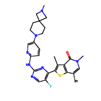 Cc1c(-c2nc(Nc3ccc(N4CCC5(CC4)CN(C)C5)cn3)ncc2F)sc2c(C(C)C)cn(C)c(=O)c12